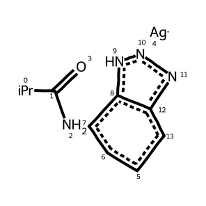 CC(C)C(N)=O.[Ag].c1ccc2[nH]nnc2c1